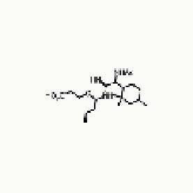 C=CCC(NC(=N)C(NC(C)=O)C1CCC(C)CC1(C)C)OCCC(=O)O